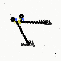 CO[Si](C)(C)CCCCCCCCCCCCCCCCCC(SSC(CCCCCCCCCCCCCCCCC[Si](C)(C)OC)c1nc2ccccc2s1)c1nc2ccccc2s1